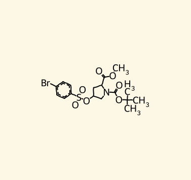 COC(=O)C1CC(OS(=O)(=O)c2ccc(Br)cc2)CN1C(=O)OC(C)(C)C